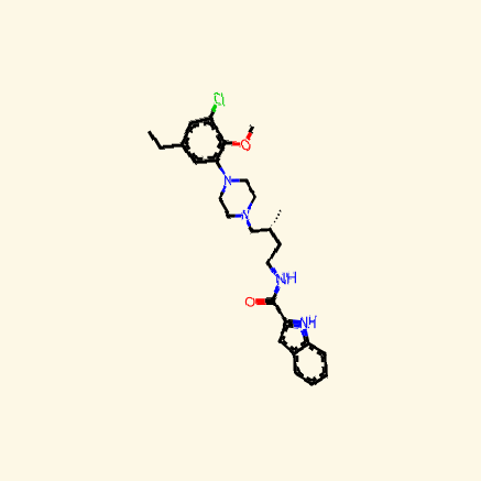 CCc1cc(Cl)c(OC)c(N2CCN(C[C@H](C)CCNC(=O)c3cc4ccccc4[nH]3)CC2)c1